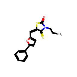 CCCN1C(=O)S/C(=C/c2ccc(-c3ccccc3)o2)C1=S